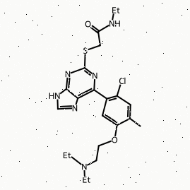 CCNC(=O)CSc1nc(-c2cc(OCCN(CC)CC)c(C)cc2Cl)c2nc[nH]c2n1